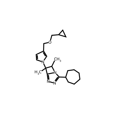 CC1n2c(C3CCCCCC3)nnc2C1(C)n1ccc(COCC2CC2)c1